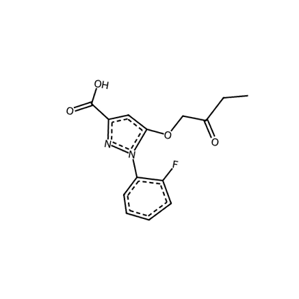 CCC(=O)COc1cc(C(=O)O)nn1-c1ccccc1F